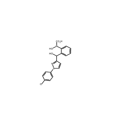 O=C(O)N(O)c1ccccc1C(O)c1ccn(-c2ccc(Cl)cc2)n1